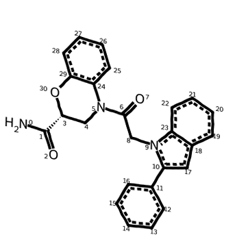 NC(=O)[C@H]1CN(C(=O)Cn2c(-c3ccccc3)cc3ccccc32)c2ccccc2O1